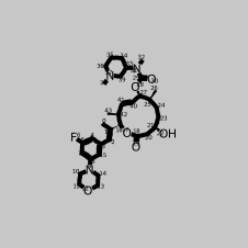 C/C(=C\c1cc(F)cc(N2CCOCC2)c1)[C@H]1OC(=O)C[C@H](O)CC[C@H](C)[C@H](OC(=O)N(C)C2CCCN(C)C2)/C=C/[C@@H]1C